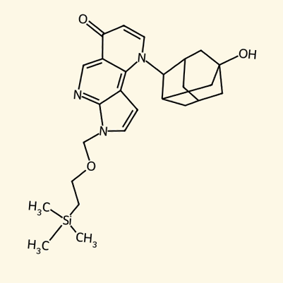 C[Si](C)(C)CCOCn1ccc2c1ncc1c(=O)ccn(C3C4CC5CC3CC(O)(C5)C4)c12